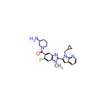 Cn1c(-c2cc3cccnc3n2CC2CC2)nc2cc(C(=O)N3CCCC(N)C3)c(F)cc21